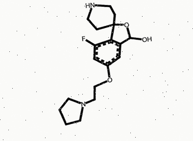 OC1OC2(CCNCC2)c2c(F)cc(OCCN3CCCC3)cc21